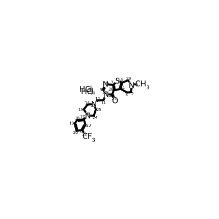 CN1CCc2c(sc3ncn(CCN4CCN(c5cccc(C(F)(F)F)c5)CC4)c(=O)c23)C1.Cl.Cl